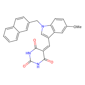 COc1ccc2c(c1)c(C=C1C(=O)NC(=O)NC1=O)cn2Cc1ccc2ccccc2c1